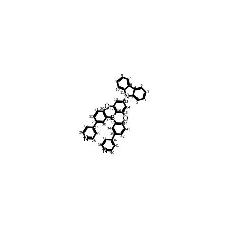 c1ccc2c(c1)c1ccccc1n2-c1cc2c3c(c1)Oc1ccc(-c4ccncc4)cc1B3c1cc(-c3ccncc3)ccc1O2